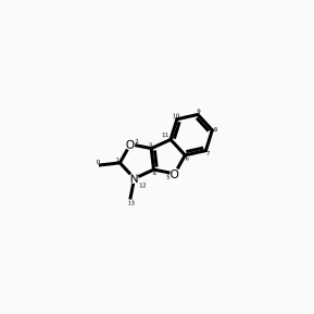 CC1Oc2c(oc3ccccc23)N1C